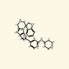 c1ccc2c(c1)OCC21COCc2nc3ccc(-c4ccnc(OC5CCOCC5)c4)nc3n21